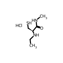 CCN[C@@H](CS)C(=O)NC.Cl